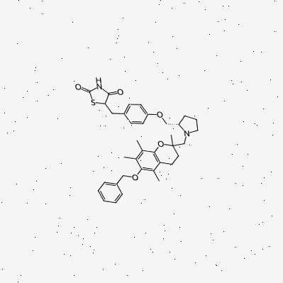 Cc1c(C)c2c(c(C)c1OCc1ccccc1)CCC(C)(CN1CCC[C@H]1COc1ccc(CC3SC(=O)NC3=O)cc1)O2